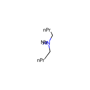 CCCCNCCCC.[Nb]